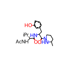 CC(=O)NC(C(=O)NC(Cc1cccc(O)c1)C(=O)N1CCCC(C)N1)C(C)C